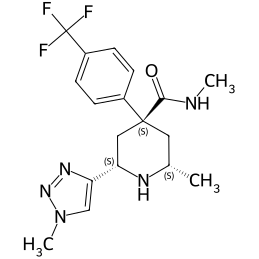 CNC(=O)[C@]1(c2ccc(C(F)(F)F)cc2)C[C@@H](c2cn(C)nn2)N[C@@H](C)C1